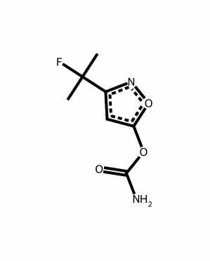 CC(C)(F)c1cc(OC(N)=O)on1